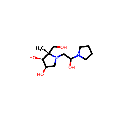 C[C@]1(CO)[C@H](O)[C@H](O)CN1CC(O)N1CCCC1